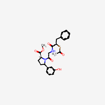 COC(=O)[C@@H]1CCC(c2cccc(O)c2)N1C(=O)CNC(=O)C(Cc1ccccc1)SC(C)=O